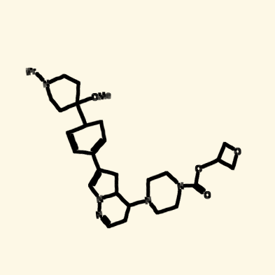 COC1(C2C=CC(C3=CN4N=CCC(N5CCN(C(=O)OC6COC6)CC5)C4C3)=CC2)CCN(C(C)C)CC1